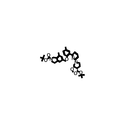 CO[C@H]1CN(c2cccc(-c3cc(C)ccc3OCc3cc(C)c4c(c3)CCN(C(=O)OC(C)(C)C)C4)n2)CC[C@H]1C(=O)OC(C)(C)C